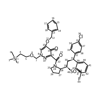 C[Si](C)(C)CCOCn1cc(OCc2ccccc2)c(=O)c(C(=O)N2CCCC2[C@@H](C[C@@H](c2ccc(Cl)cc2)c2cccc(F)c2)S(=O)(=O)O)n1